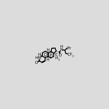 CC(C)C(CC(F)(F)F)NC(=O)[C@H]1CC[C@H]2[C@@H]3CC[C@H]4NC(=O)C=C[C@]4(C)[C@H]3CC[C@]12C